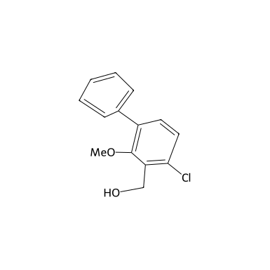 COc1c(-c2ccccc2)ccc(Cl)c1CO